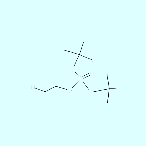 CC(C)(C)OP(=O)(OCCN)OC(C)(C)C